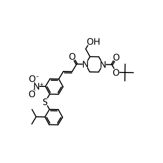 CC(C)c1ccccc1Sc1ccc(C=CC(=O)N2CCN(C(=O)OC(C)(C)C)CC2CO)cc1[N+](=O)[O-]